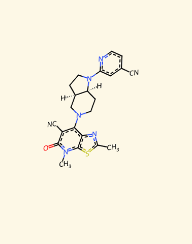 Cc1nc2c(N3CC[C@H]4[C@H](CCN4c4cc(C#N)ccn4)C3)c(C#N)c(=O)n(C)c2s1